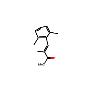 COC(=O)C(C)=Cc1c(C)cccc1C